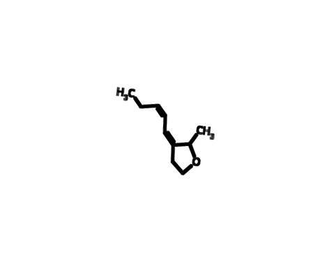 CC/C=C\C=C1\CCOC1C